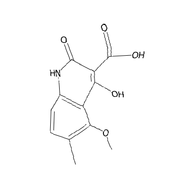 COc1c(C)ccc2[nH]c(=O)c(C(=O)O)c(O)c12